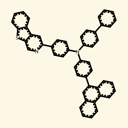 c1ccc(-c2ccc(N(c3ccc(-c4cc5c(cn4)sc4ccccc45)cc3)c3ccc(-c4cc5ccccc5c5ccccc45)cc3)cc2)cc1